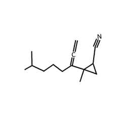 C=C=C(CCCC(C)C)C1(C)CC1C#N